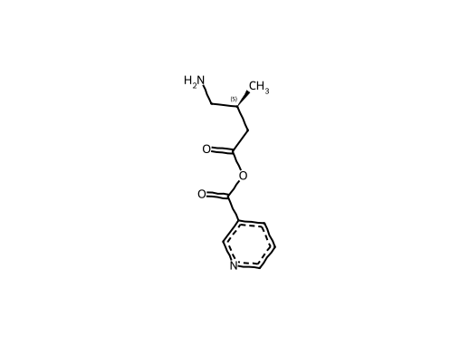 C[C@H](CN)CC(=O)OC(=O)c1cccnc1